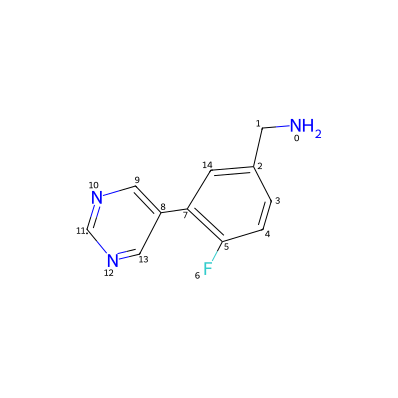 NCc1ccc(F)c(-c2cn[c]nc2)c1